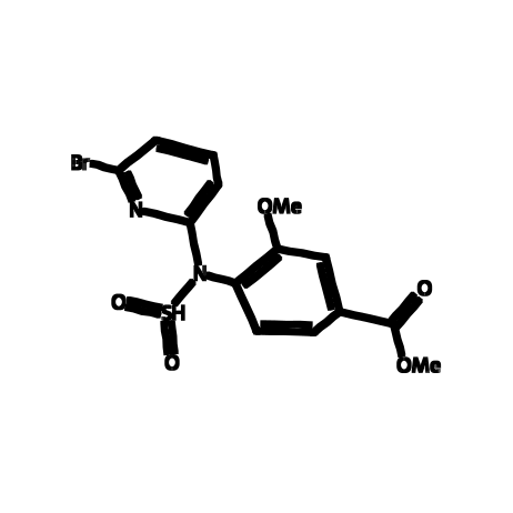 COC(=O)c1ccc(N(c2cccc(Br)n2)[SH](=O)=O)c(OC)c1